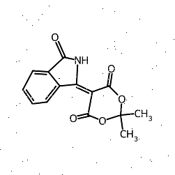 CC1(C)OC(=O)C(=C2NC(=O)c3ccccc32)C(=O)O1